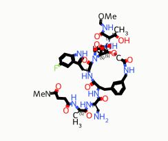 CNC(=O)CCC(=O)N[C@@H](C)C(=O)N[C@H](CN)C(=O)NC1Cc2cccc(c2)CNC(=O)CO[C@H]2CCN(C(=O)[C@H](Cc3c[nH]c4ccc(F)cc34)NC1=O)[C@@H]2C(=O)N[C@H](C(=O)NCOC)[C@@H](C)O